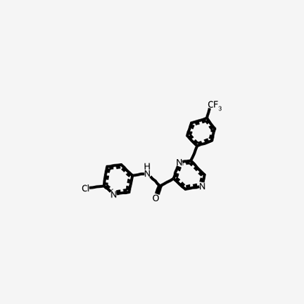 O=C(Nc1ccc(Cl)nc1)c1cncc(-c2ccc(C(F)(F)F)cc2)n1